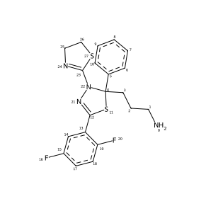 NCCCC1(c2ccccc2)SC(c2cc(F)ccc2F)=NN1C1=NCCS1